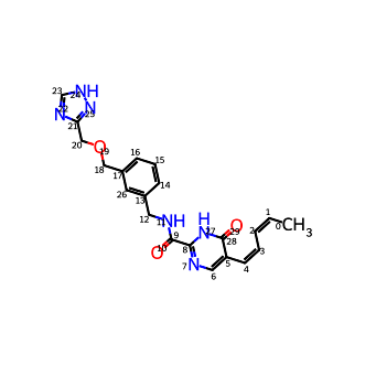 C/C=C\C=C/c1cnc(C(=O)NCc2cccc(COCc3nc[nH]n3)c2)[nH]c1=O